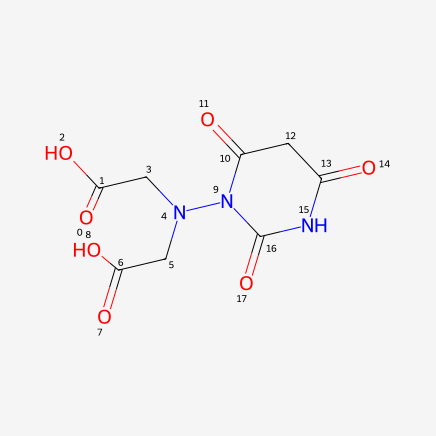 O=C(O)CN(CC(=O)O)N1C(=O)CC(=O)NC1=O